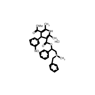 COC(=O)C1=C(C)NC(C)=C(C(=O)OC(CN(C)Cc2ccccc2)c2ccccc2)C1c1cccc([N+](=O)[O-])c1.Cl